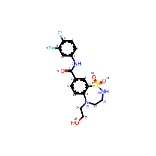 O=C(Nc1ccc(F)c(F)c1)c1ccc2c(c1)S(=O)(=O)NCCN2CCO